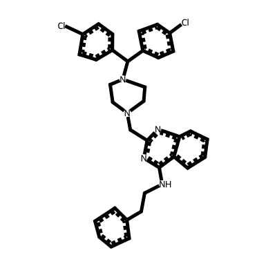 Clc1ccc(C(c2ccc(Cl)cc2)N2CCN(Cc3nc(NCCc4ccccc4)c4ccccc4n3)CC2)cc1